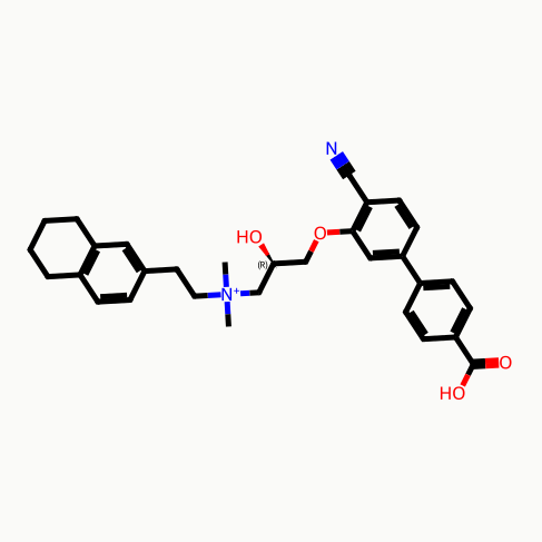 C[N+](C)(CCc1ccc2c(c1)CCCC2)C[C@@H](O)COc1cc(-c2ccc(C(=O)O)cc2)ccc1C#N